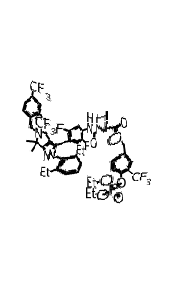 CCOP(=O)(OCC)Oc1ccc(COC(=O)NC(=O)Nc2cc(F)c(-c3c4c(nn3-c3c(CC)cccc3CC)C(C)(C)N(Cc3ccc(C(F)(F)F)cc3C(F)(F)F)C4)cc2F)cc1C(F)(F)F